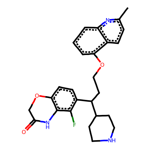 Cc1ccc2c(OCCC(c3ccc4c(c3F)NC(=O)CO4)C3CCNCC3)cccc2n1